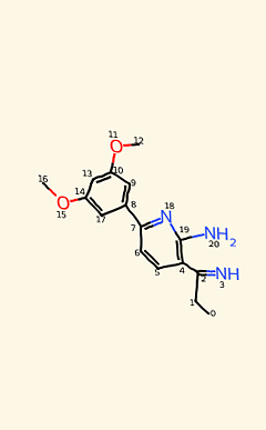 CCC(=N)c1ccc(-c2cc(OC)cc(OC)c2)nc1N